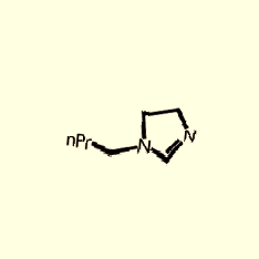 CCCCN1C=NCC1